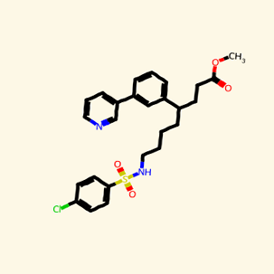 COC(=O)CCC(CCCCNS(=O)(=O)c1ccc(Cl)cc1)c1cccc(-c2cccnc2)c1